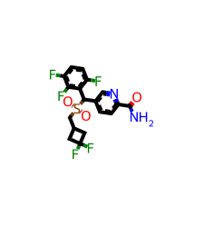 NC(=O)c1ccc(C(c2c(F)ccc(F)c2F)S(=O)(=O)CC2CC(F)(F)C2)cn1